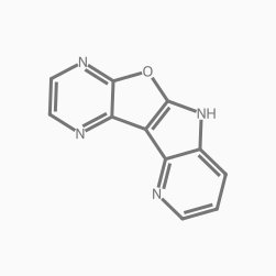 c1cnc2c(c1)[nH]c1oc3nccnc3c12